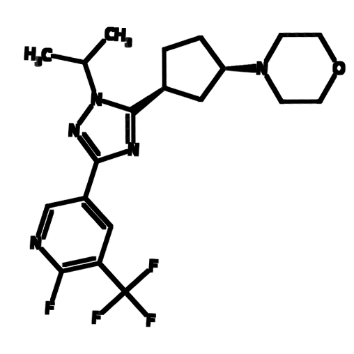 CC(C)n1nc(-c2cnc(F)c(C(F)(F)F)c2)nc1[C@H]1CC[C@@H](N2CCOCC2)C1